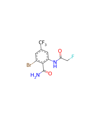 NC(=O)c1c(Br)cc(C(F)(F)F)cc1NC(=O)CF